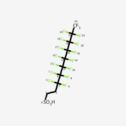 O=S(=O)(O)CCC(F)(F)C(F)(F)C(F)(F)C(F)(F)C(F)(F)C(F)(F)C(F)(F)C(F)(F)F